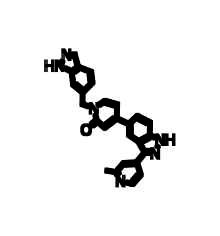 Cc1cc(-c2n[nH]c3ccc(-c4ccn(Cc5ccc6cn[nH]c6c5)c(=O)c4)cc23)ccn1